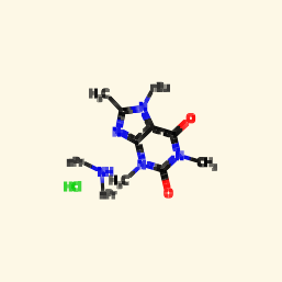 CCCCn1c(C)nc2c1c(=O)n(C)c(=O)n2C.CCCNCCC.Cl